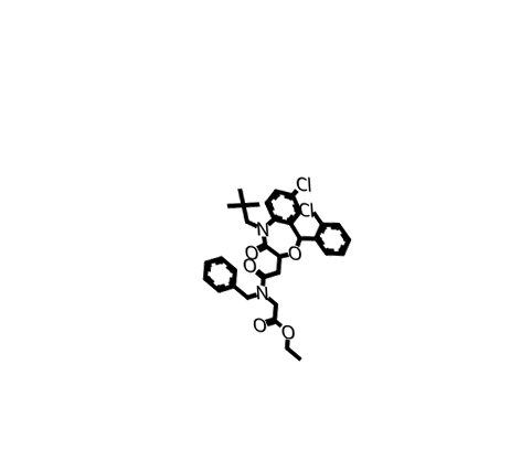 CCOC(=O)CN(Cc1ccccc1)C(=O)CC1OC(c2ccccc2Cl)c2cc(Cl)ccc2N(CC(C)(C)C)C1=O